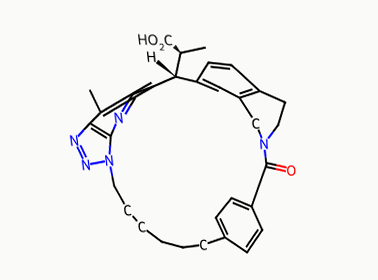 Cc1c2cnc3c1nnn3CCCCCCc1ccc(cc1)C(=O)N1CCc3ccc(cc3C1)[C@H]2[C@H](C)C(=O)O